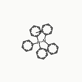 Cc1ccccc1N(c1ccccc1)[N+](c1ccccc1)(c1ccccc1)c1ccccc1